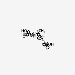 COc1cc(NC(=O)CCCc2cccc(C3(C(=O)O)CCCCC3)c2)c(Cl)cc1CNC[C@H](O)c1ccc(O)c2[nH]c(=O)ccc12